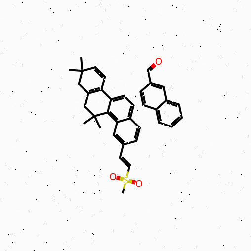 CC1(C)C=CC2=C(C1)CC(C)(C)c1c2ccc2ccc(/C=C/S(C)(=O)=O)cc12.O=Cc1ccc2ccccc2c1